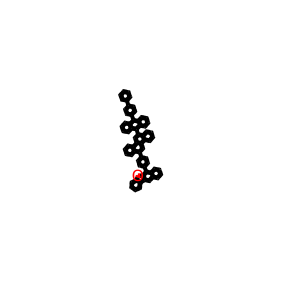 c1ccc(-c2ccc(-c3c4ccccc4c(-c4cc5c6ccccc6c(-c6ccc(-c7c8ccccc8cc8c7oc7ccccc78)cc6)cc5c5ccccc45)c4ccccc34)cc2)cc1